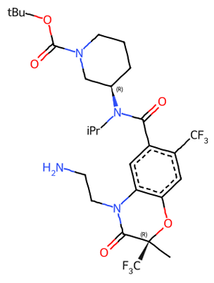 CC(C)N(C(=O)c1cc2c(cc1C(F)(F)F)O[C@@](C)(C(F)(F)F)C(=O)N2CCN)[C@@H]1CCCN(C(=O)OC(C)(C)C)C1